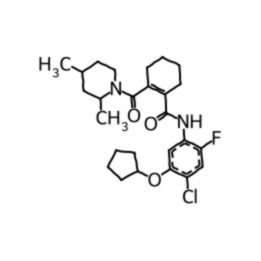 CC1CCN(C(=O)C2=C(C(=O)Nc3cc(OC4CCCC4)c(Cl)cc3F)CCCC2)C(C)C1